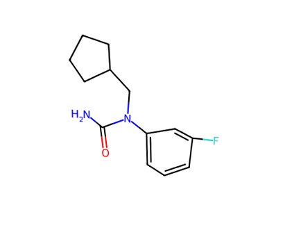 NC(=O)N(CC1CCCC1)c1cccc(F)c1